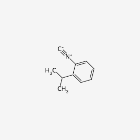 [C-]#[N+]c1ccccc1C(C)C